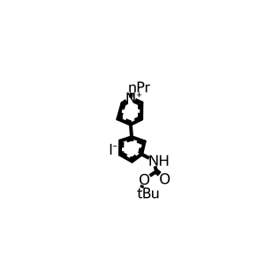 CCC[n+]1ccc(-c2cccc(NC(=O)OC(C)(C)C)c2)cc1.[I-]